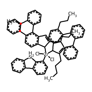 CCCCC1=Cc2c(ccc(CCC)c2-c2ccccc2-c2ccccc2)[CH]1[Zr]([Cl])([Cl])([c]1cccc2c1[SiH2]c1ccccc1-2)[CH]1C(CCCC)=Cc2c1ccc(CCC)c2-c1ccccc1-c1ccccc1